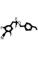 CCc1ccc(COC(F)(F)Cc2cc(F)c(C#N)c(F)c2)cc1